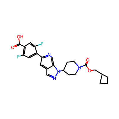 O=C(O)c1cc(F)c(-c2cc3cnn(C4CCN(C(=O)OCC5CCC5)CC4)c3cn2)cc1F